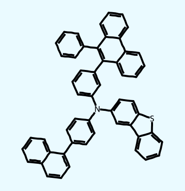 c1ccc(-c2c(-c3cccc(N(c4ccc(-c5cccc6ccccc56)cc4)c4ccc5sc6ccccc6c5c4)c3)c3ccccc3c3ccccc23)cc1